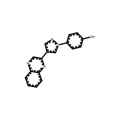 Oc1ccc(-n2cc(-c3cnc4ccccc4n3)cn2)cc1